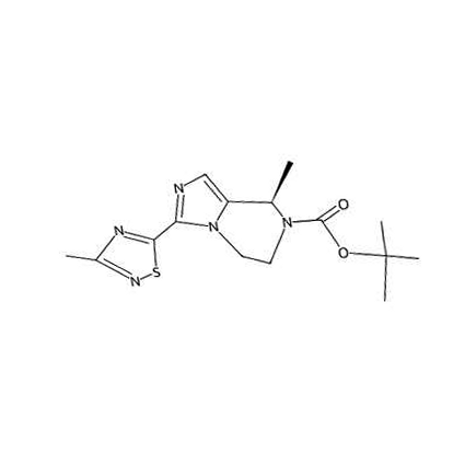 Cc1nsc(-c2ncc3n2CCN(C(=O)OC(C)(C)C)[C@@H]3C)n1